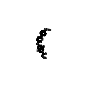 CC(=O)Nc1ccc(-c2ccc(O[C@H]3C[C@@H]4CN(C(=O)OC(C)(C)C)C[C@@H]4C3)nn2)cc1